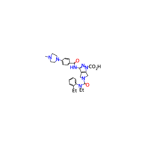 CCc1ccccc1N(CC)C(=O)N1Cc2c(NC(=O)c3ccc(N4CCN(C)CC4)cc3)nn(C(=O)O)c2C1